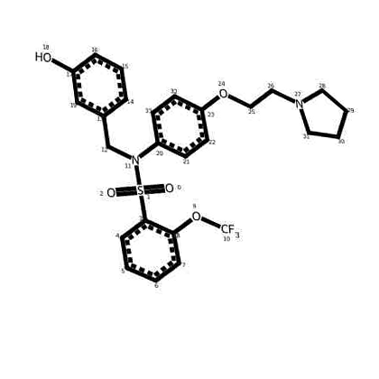 O=S(=O)(c1ccccc1OC(F)(F)F)N(Cc1cccc(O)c1)c1ccc(OCCN2CCCC2)cc1